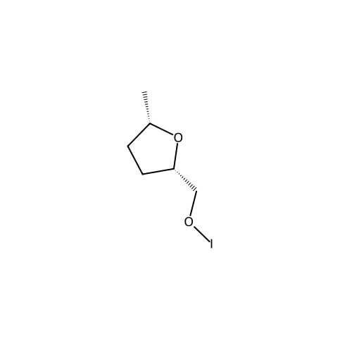 C[C@H]1CC[C@@H](COI)O1